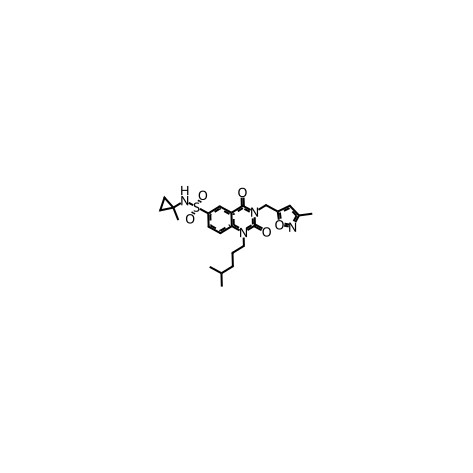 Cc1cc(Cn2c(=O)c3cc(S(=O)(=O)NC4(C)CC4)ccc3n(CCCC(C)C)c2=O)on1